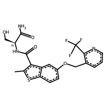 Cc1sc2ccc(OCc3cccnc3C(F)(F)F)cc2c1C(=O)N[C@@H](CO)C(N)=O